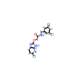 O=C(COc1nc2ccc(Cl)nc2[nH]1)NCc1cc(Cl)cc(Cl)c1